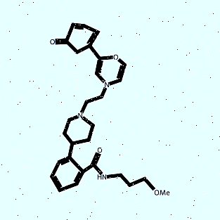 COCCCNC(=O)c1ccccc1C1CCN(CCN2C=COC(C3=CC=CC(=O)C3)=C2)CC1